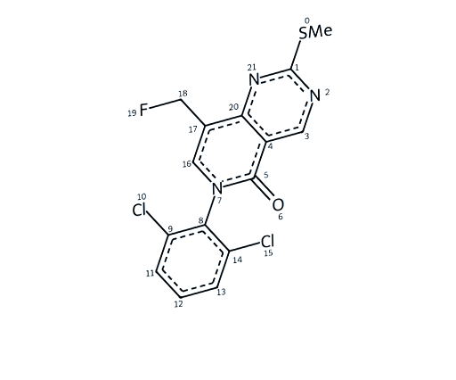 CSc1ncc2c(=O)n(-c3c(Cl)cccc3Cl)cc(CF)c2n1